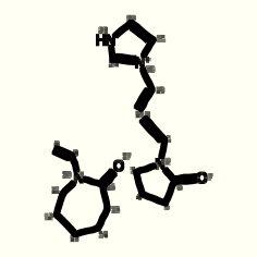 C=CN1CCCC1=O.C=CN1CCCCCC1=O.C=C[n+]1cc[nH]c1